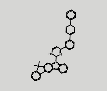 CC1(C)c2ccccc2-c2cc3c4ccccc4n(C4N=C(c5cccc(C6=CCC(c7ccccc7)C=C6)c5)C=CN4)c3cc21